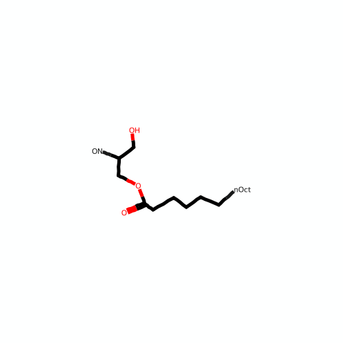 CCCCCCCCCCCCCC(=O)OCC(CO)N=O